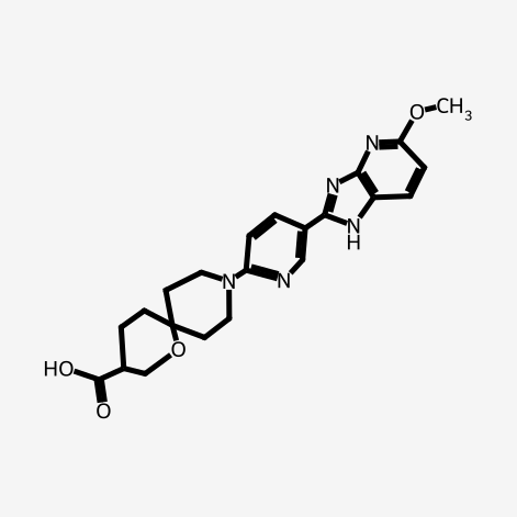 COc1ccc2[nH]c(-c3ccc(N4CCC5(CCC(C(=O)O)CO5)CC4)nc3)nc2n1